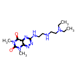 CCN(CC)CCNCCNc1nnc2c(n1)c(=O)n(C)c(=O)n2C